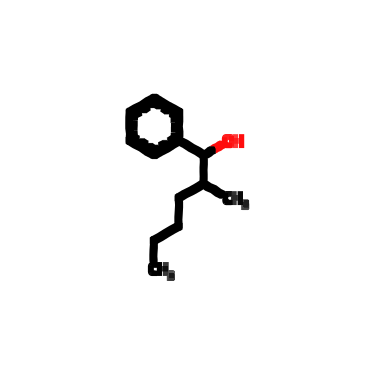 CCCCC(C)C(O)c1ccccc1